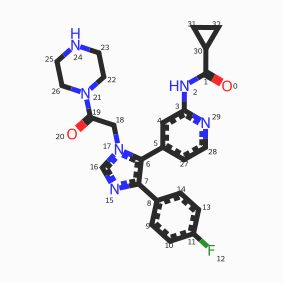 O=C(Nc1cc(-c2c(-c3ccc(F)cc3)ncn2CC(=O)N2CCNCC2)ccn1)C1CC1